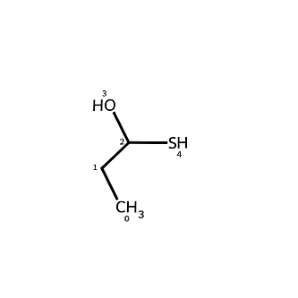 CCC(O)S